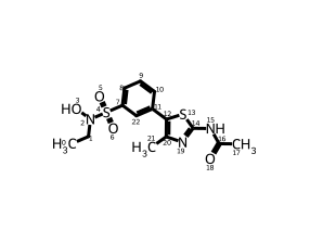 CCN(O)S(=O)(=O)c1cccc(-c2sc(NC(C)=O)nc2C)c1